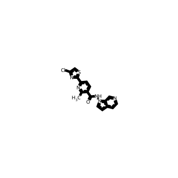 Cc1nc(-c2nc(Cl)cs2)ccc1C(=O)Nn1ccc2ccncc21